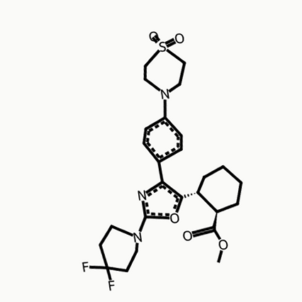 COC(=O)[C@@H]1CCCC[C@H]1c1oc(N2CCC(F)(F)CC2)nc1-c1ccc(N2CCS(=O)(=O)CC2)cc1